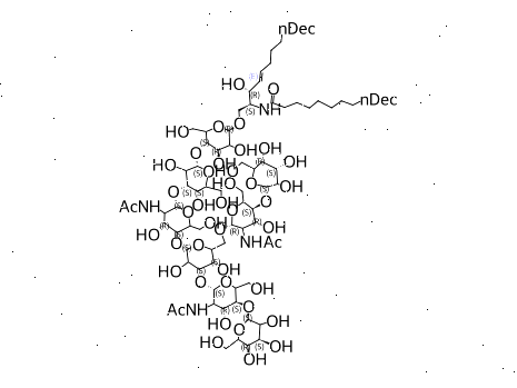 CCCCCCCCCCCCC/C=C/[C@@H](O)[C@H](CO[C@@H]1OC(CO)[C@@H](O[C@@H]2OC(CO)[C@H](O)[C@H](O[C@@H]3OC(CO)[C@@H](O[C@@H]4OC(CO[C@@H]5OC(CO)[C@@H](O[C@@H]6OC(CO)[C@H](O)[C@H](O)C6O)[C@H](O)C5NC(C)=O)[C@H](O)[C@H](O[C@@H]5OC(CO)[C@@H](O[C@@H]6OC(CO)[C@H](O)[C@H](O)C6O)[C@H](O)C5NC(C)=O)C4O)[C@H](O)C3NC(C)=O)C2O)[C@H](O)C1O)NC(=O)CCCCCCCCCCCCCCCCC